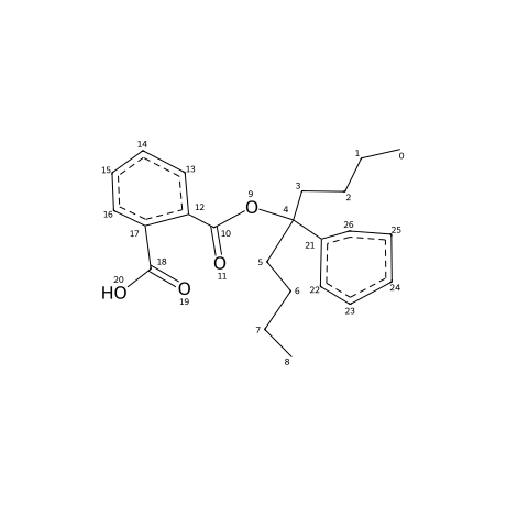 CCCCC(CCCC)(OC(=O)c1ccccc1C(=O)O)c1ccccc1